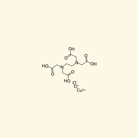 O=C(O)CN(CCN(CC(=O)O)CC(=O)O)CC(=O)O.[Cl-].[Cl-].[Cu+2]